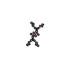 CC1(C)c2ccccc2-c2ccc(-c3ccc4c(c3)c3cc(-c5ccc6c(c5)C(C)(C)c5ccccc5-6)ccc3n4-c3ccc(N(c4ccccc4)c4c5ccccc5c(N(c5ccccc5)c5ccc(-n6c7ccc(-c8ccc9c(c8)C(C)(C)c8ccccc8-9)cc7c7cc(-c8ccc9c(c8)C(C)(C)c8ccccc8-9)ccc76)cc5)c5ccccc45)cc3)cc21